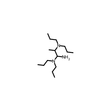 CCCN(CCC)C(C)C(N)N(CCC)CCC